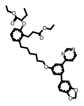 CCOC(=O)CCc1c(CCCCCCOc2cc(-c3ccc4c(c3)OCO4)cc(-c3ccncn3)c2)cccc1OC(CC)C(=O)OCC